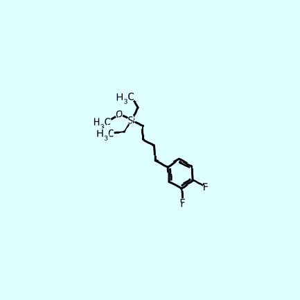 CC[Si](CC)(CCCCc1ccc(F)c(F)c1)OC